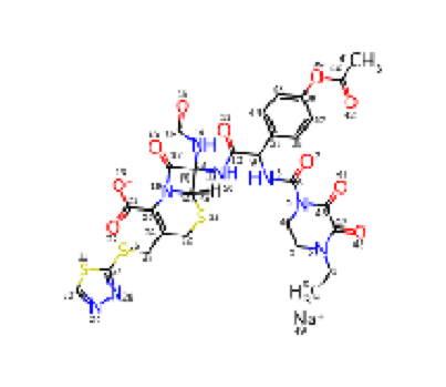 CCN1CCN(C(=O)NC(C(=O)N[C@]2(NC=O)C(=O)N3C(C(=O)[O-])=C(CSc4nncs4)CS[C@H]32)c2ccc(OC(C)=O)cc2)C(=O)C1=O.[Na+]